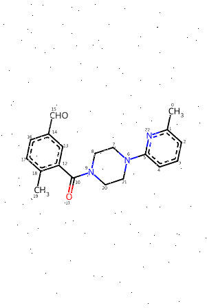 Cc1cccc(N2CCN(C(=O)c3cc(C=O)ccc3C)CC2)n1